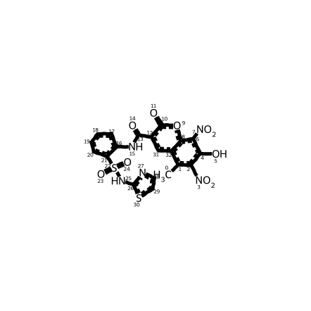 Cc1c([N+](=O)[O-])c(O)c([N+](=O)[O-])c2oc(=O)c(C(=O)Nc3ccccc3S(=O)(=O)Nc3nccs3)cc12